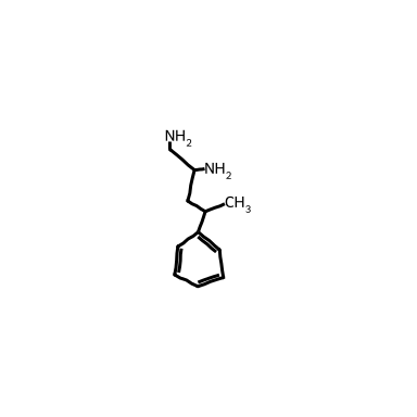 CC(CC(N)CN)c1ccccc1